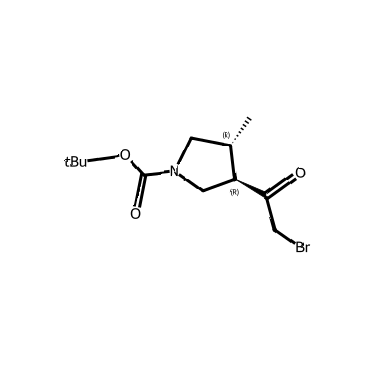 C[C@H]1CN(C(=O)OC(C)(C)C)C[C@@H]1C(=O)CBr